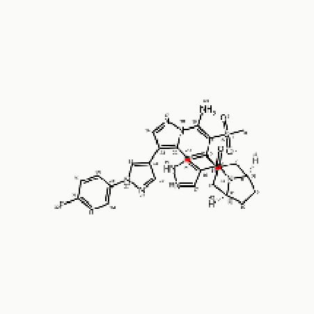 CS(=O)(=O)c1c([C@H]2C[C@H]3CC[C@@H](C2)N3C(=O)c2cn[nH]n2)nc2c(-c3cnn(-c4ccc(F)cc4)c3)cnn2c1N